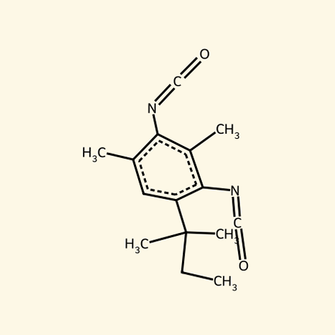 CCC(C)(C)c1cc(C)c(N=C=O)c(C)c1N=C=O